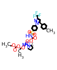 CCOC(=O)OC(C)O/N=[N+](/[O-])N1CCC[C@H]1COC(=O)NS(=O)(=O)c1ccc(-n2nc(C(F)(F)F)cc2-c2ccc(C)cc2)cc1